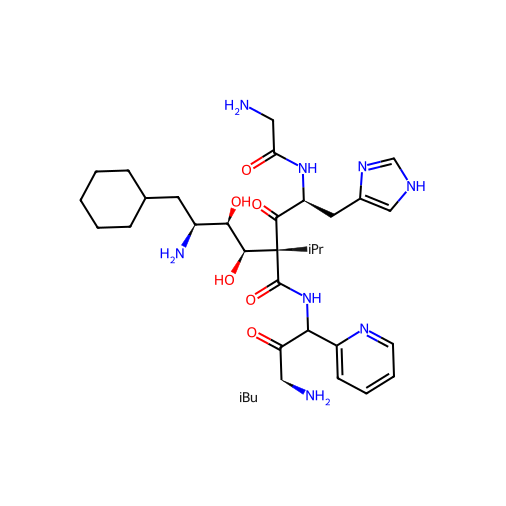 CC[C@H](C)[C@H](N)C(=O)C(NC(=O)[C@](C(=O)[C@H](Cc1c[nH]cn1)NC(=O)CN)(C(C)C)[C@@H](O)[C@H](O)[C@@H](N)CC1CCCCC1)c1ccccn1